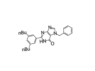 CCCCc1cc(CCCC)cc(-c2nc3ncn(Cc4ccccc4)c3c(=O)[nH]2)c1